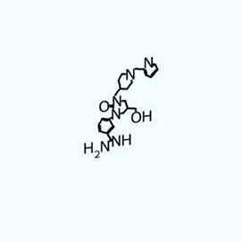 N=C(N)c1cccc(N2CC(CO)CN(CC3CCN(Cc4ccccn4)CC3)C2=O)c1